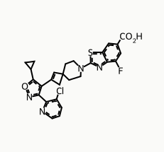 O=C(O)c1cc(F)c2nc(N3CCC4(C=C(c5c(-c6ncccc6Cl)noc5C5CC5)C4)CC3)sc2c1